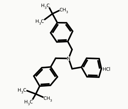 CC(C)(C)c1ccc(CN(Cc2ccccc2)Cc2ccc(C(C)(C)C)cc2)cc1.Cl